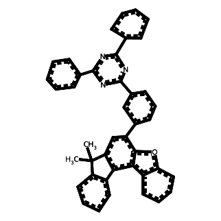 CC1(C)c2ccccc2-c2c1cc(-c1cccc(-c3nc(-c4ccccc4)nc(-c4ccccc4)n3)c1)c1oc3ccccc3c21